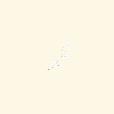 Cc1cc(Oc2ccccc2F)ncc1-n1ncc(C(=O)c2cc3cc(OCC(F)F)c(NS(=O)(=O)C4CC4)cc3[nH]2)c1N